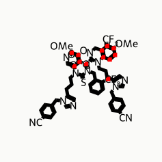 COc1ccc(N(CCCc2cncn2Cc2ccc(C#N)cc2)C(=S)N(Cc2ccccc2C(F)(F)F)OC(=O)C(=O)ON(Cc2ccccc2C(F)(F)F)C(=S)N(CCCc2cncn2Cc2ccc(C#N)cc2)c2ccc(OC)nc2)cn1